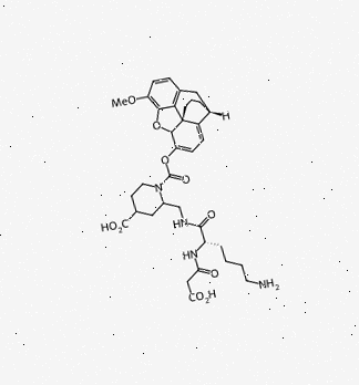 COc1ccc2c3c1OC1C(OC(=O)N4CCC(C(=O)O)CC4CNC(=O)[C@H](CCCCN)NC(=O)CC(=O)O)=CC=C4[C@H](CCC[C@]431)C2